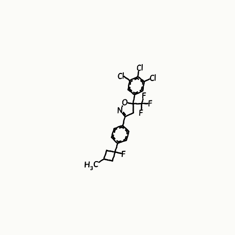 CC1CC(F)(c2ccc(C3=NOC(c4cc(Cl)c(Cl)c(Cl)c4)(C(F)(F)F)C3)cc2)C1